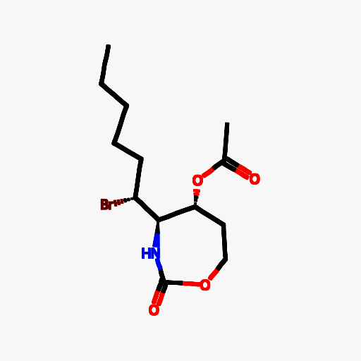 CCCCC[C@@H](Br)[C@@H]1NC(=O)OCC[C@H]1OC(C)=O